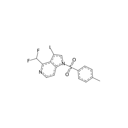 Cc1ccc(S(=O)(=O)n2cc(I)c3c(C(F)F)nccc32)cc1